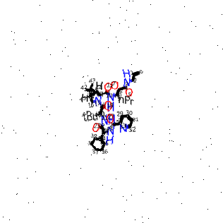 C=CCNC(=O)C(=O)[C@H](CCC)NC(=O)[C@@H]1[C@@H]2[C@H](CN1C(=O)[C@@H](NC(=O)[C@@H](NC(=O)c1ccccn1)C1CCCCC1)C(C)(C)C)C2(C)C